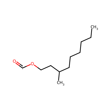 CCCCCCC(C)CCO[C]=O